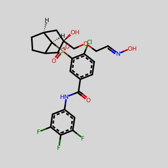 O=C(Nc1cc(F)c(F)c(F)c1)c1ccc(Cl)c(S(=O)(=O)[C@H]2C3CC[C@H]2C[C@](O)(COC/C=N/O)C3)c1